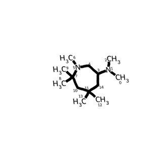 CN(C)C1CN(C)C(C)(C)CC(C)(C)C1